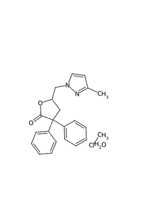 CCl.Cc1ccn(CC2CC(c3ccccc3)(c3ccccc3)C(=O)O2)n1.O